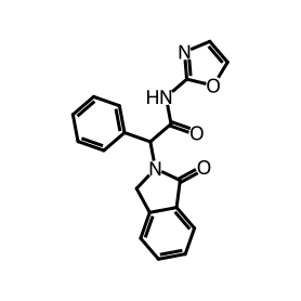 O=C(Nc1ncco1)C(c1ccccc1)N1Cc2ccccc2C1=O